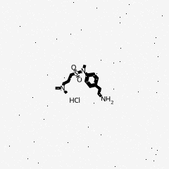 CN(C)CCCS(=O)(=O)N(C)c1ccc(CCN)cc1.Cl